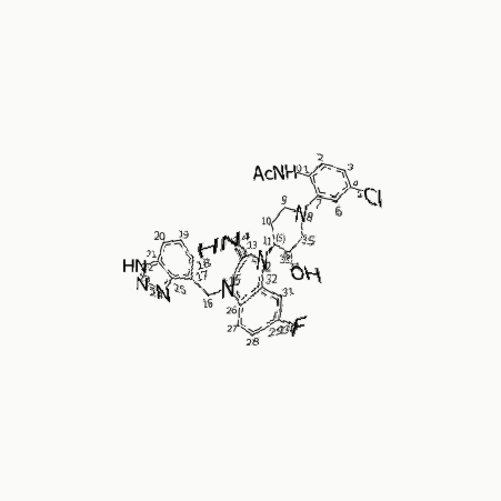 CC(=O)Nc1ccc(Cl)cc1N1CC[C@H](n2c(=N)n(Cc3cccc4[nH]nnc34)c3ccc(F)cc32)[C@@H](O)C1